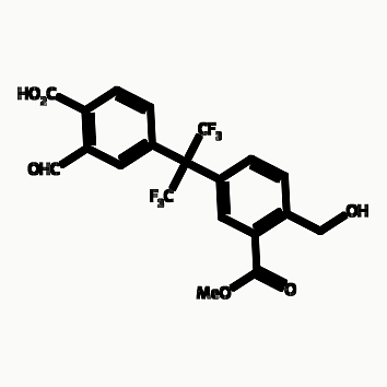 COC(=O)c1cc(C(c2ccc(C(=O)O)c(C=O)c2)(C(F)(F)F)C(F)(F)F)ccc1CO